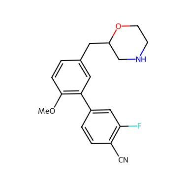 COc1ccc(CC2CNCCO2)cc1-c1ccc(C#N)c(F)c1